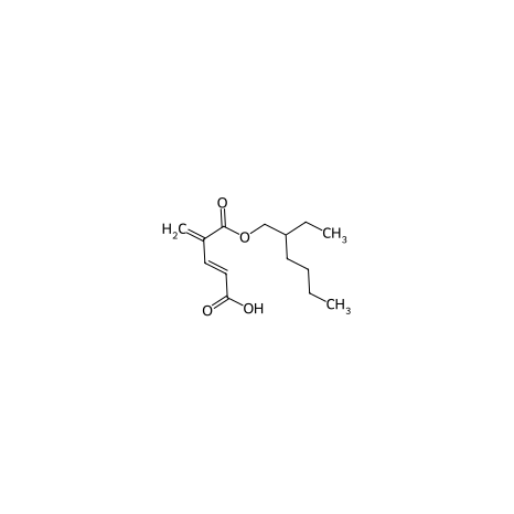 C=C(C=CC(=O)O)C(=O)OCC(CC)CCCC